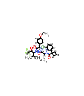 COc1ccc(C(NC(=O)C(C)NC(=O)C2(c3cccc(Cl)c3)CCC2)C(=O)NC(C(=O)C(F)(F)F)C(C)C)cc1